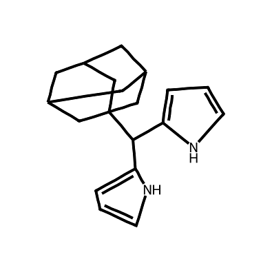 c1c[nH]c(C(c2ccc[nH]2)C23CC4CC(CC(C4)C2)C3)c1